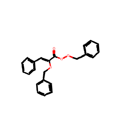 O=C(OOCc1ccccc1)C(=Cc1ccccc1)OCc1ccccc1